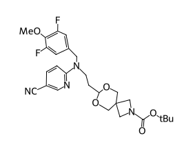 COc1c(F)cc(CN(CCC2OCC3(CO2)CN(C(=O)OC(C)(C)C)C3)c2ccc(C#N)cn2)cc1F